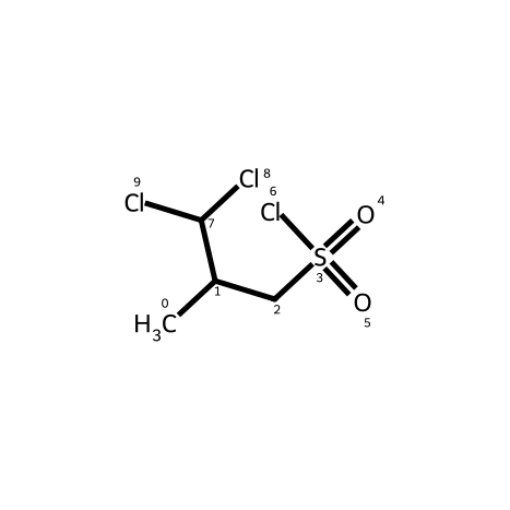 CC(CS(=O)(=O)Cl)C(Cl)Cl